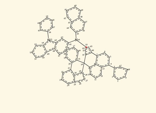 c1ccc(-c2ccc3c4c(cccc24)C2(c4ccccc4-c4cccc5cccc2c45)c2cc(N(c4ccc5ccccc5c4)c4ccc5c6ccccc6n(-c6ccccc6)c5c4)ccc2-3)cc1